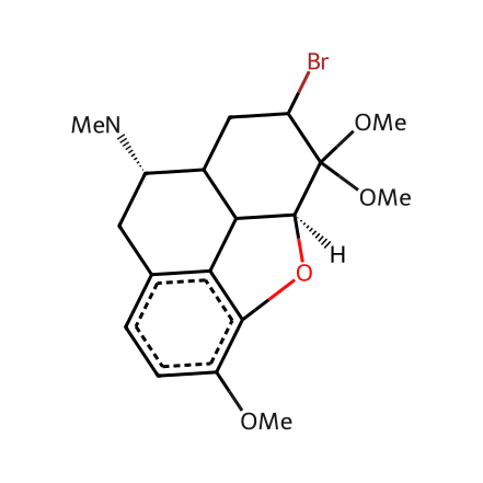 CN[C@H]1Cc2ccc(OC)c3c2C2C1CC(Br)C(OC)(OC)[C@H]2O3